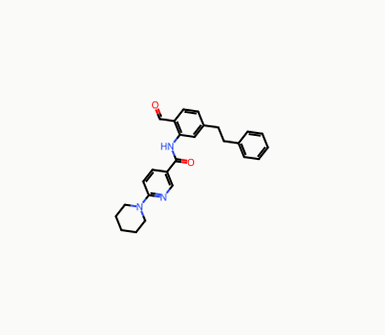 O=Cc1ccc(CCc2ccccc2)cc1NC(=O)c1ccc(N2CCCCC2)nc1